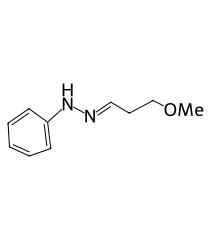 COCC/C=N/Nc1ccccc1